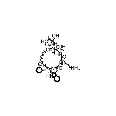 CC(O)[C@@H]1NC(=O)[C@H](CCCCN)NC(=O)[C@@H](Cc2c[nH]c3ccccc23)NC(=O)[C@H](Cc2ccccc2)NC(=O)CCSSC[C@@H](C(=O)N[C@H](CO)[C@@H](C)O)NC1=O